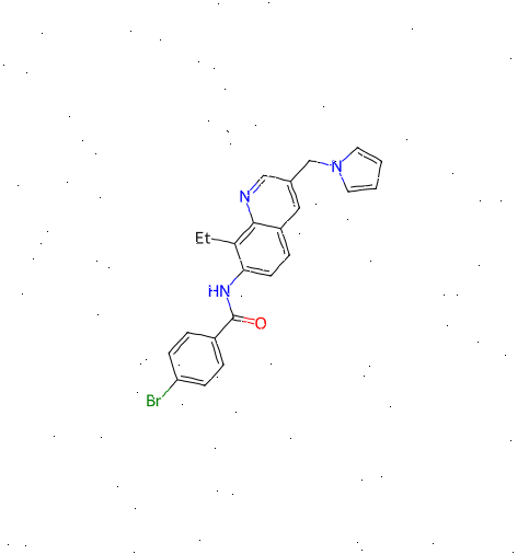 CCc1c(NC(=O)c2ccc(Br)cc2)ccc2cc(Cn3cccc3)cnc12